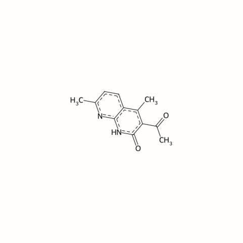 CC(=O)c1c(C)c2ccc(C)nc2[nH]c1=O